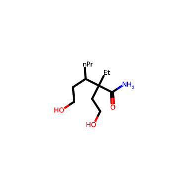 CCCC(CCO)C(CC)(CCO)C(N)=O